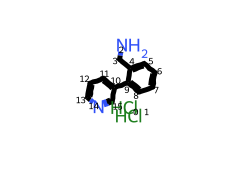 Cl.Cl.NCc1ccccc1-c1cccnc1